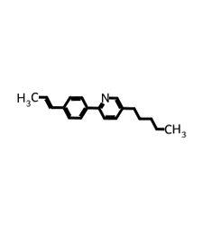 C/C=C/c1ccc(-c2ccc(CCCCC)cn2)cc1